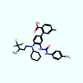 Cc1ccc(NC(=O)Nc2cc(-c3cc(F)ccc3C(=O)O)ccc2N(CCC(C)C(F)(F)F)C2CCCCC2)cc1